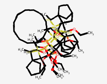 CCO[Si](OCC)(OCC)C1(S(S)(SS)/C2=C(\S(S)(SS)C3([Si](OCC)(OCC)OCC)CC4CCC3(CC)C4)C(S(S)(SS)C3([Si](OCC)(OCC)OCC)CC4CCC3(CC)C4)(S(S)(SS)C3([Si](OCC)(OCC)OCC)CC4CCC3(CC)C4)CCCCCCCCC2)CC2CCC1(CC)C2